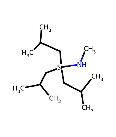 CN[Si](CC(C)C)(CC(C)C)CC(C)C